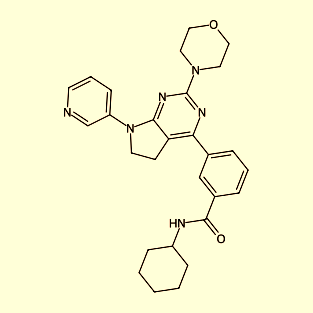 O=C(NC1CCCCC1)c1cccc(-c2nc(N3CCOCC3)nc3c2CCN3c2cccnc2)c1